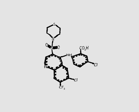 O=C(O)c1cc(Cl)ccc1Nc1c(S(=O)(=O)N2CCSCC2)cnc2cc(C(F)(F)F)c(Cl)cc12